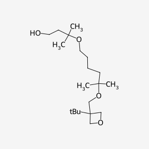 CC(C)(CCO)OCCCCC(C)(C)OCC1(C(C)(C)C)COC1